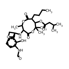 CCCCC1C(=O)OC(C)C(NC2(c3cccc(NC=O)c3O)COC2)C(=O)OC(C)(C)C1OC(=O)CC(C)C